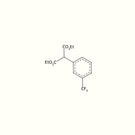 CCOC(=O)C(C(=O)OCC)c1cccc(C(F)(F)F)c1